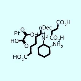 CCCCCCCCCCCCCCCC(=O)O.N[C@@H]1CCCC[C@H]1N.O=C(O)C(=O)O.O=C(O)CCC(=O)O.[Pt]